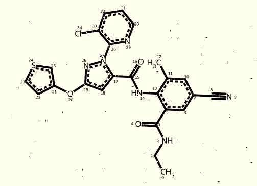 CCNC(=O)c1cc(C#N)cc(C)c1NC(=O)c1cc(Oc2ccsc2)nn1-c1ncccc1Cl